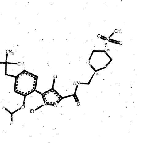 CCn1nc(C(=O)NC[C@@H]2CC[C@@H](S(C)(=O)=O)CO2)c(Cl)c1-c1ccc(CC(C)(C)C(F)(F)F)cc1OC(F)F